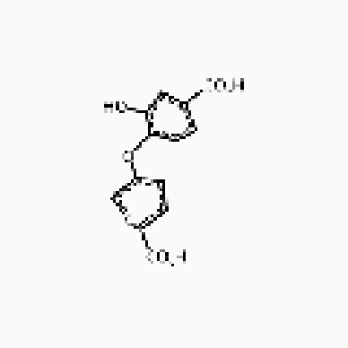 O=C(O)c1ccc(Oc2ccc(C(=O)O)cc2O)cc1